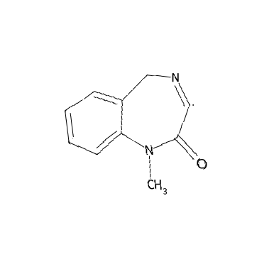 CN1C(=O)[C]=NCc2ccccc21